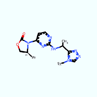 CCn1cnnc1C(C)Nc1nccc(N2C(=O)OC[C@@H]2C(C)C)n1